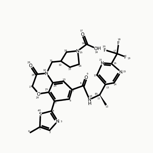 Cc1cnc(-c2cc(C(=O)N[C@H](C)c3cnc(C(F)(F)F)nc3)cc3c2OCC(=O)N3CC2CCN(C(=O)O)C2)s1